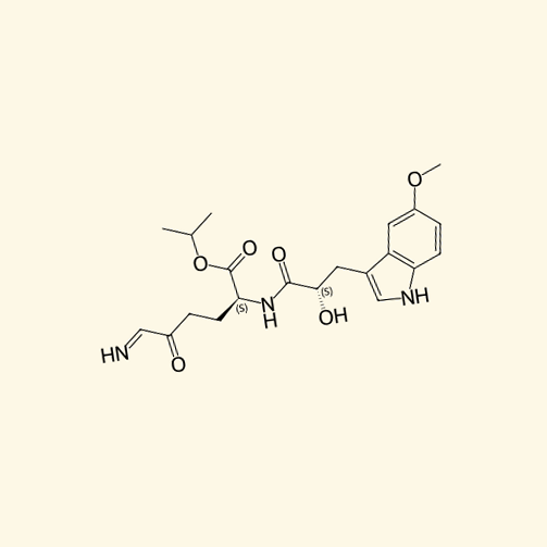 COc1ccc2[nH]cc(C[C@H](O)C(=O)N[C@@H](CCC(=O)C=N)C(=O)OC(C)C)c2c1